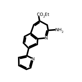 CCOC(=O)C1=Cc2ccc(-c3ccccn3)cc2N=C(N)C1